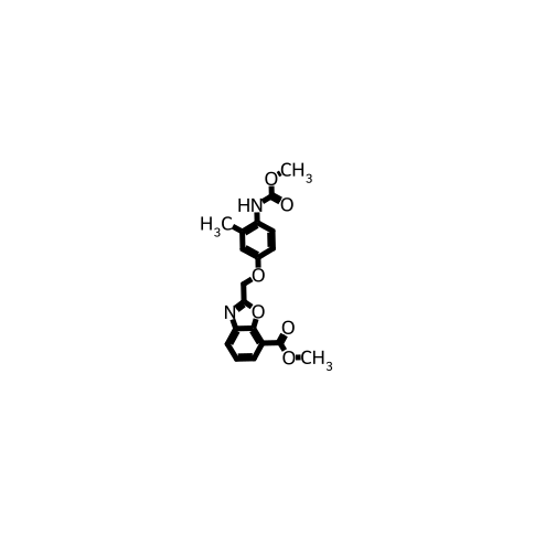 COC(=O)Nc1ccc(OCc2nc3cccc(C(=O)OC)c3o2)cc1C